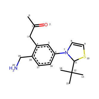 CC(=O)Cc1cc(N2C=CSC2C(C)(C)C)ccc1CN